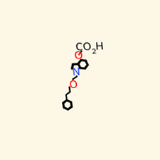 O=C(O)COc1cccc2c1ccn2CCOCCCc1ccccc1